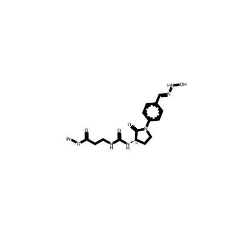 CC(C)OC(=O)CCNC(=O)N[C@H]1CCN(c2ccc(C=NNO)cc2)C1=O